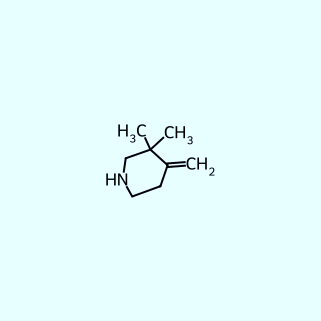 C=C1CCNCC1(C)C